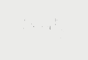 C=C(CC(C)C)N1CC2(CCN(C(C)C)CC2)C1